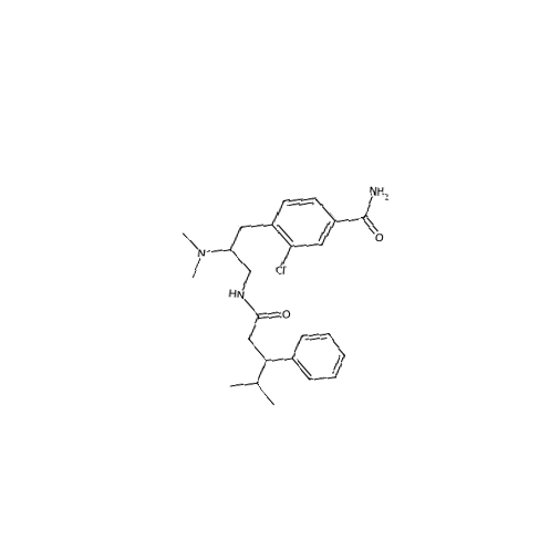 CC(C)C(CC(=O)NCC(Cc1ccc(C(N)=O)cc1Cl)N(C)C)c1ccccc1